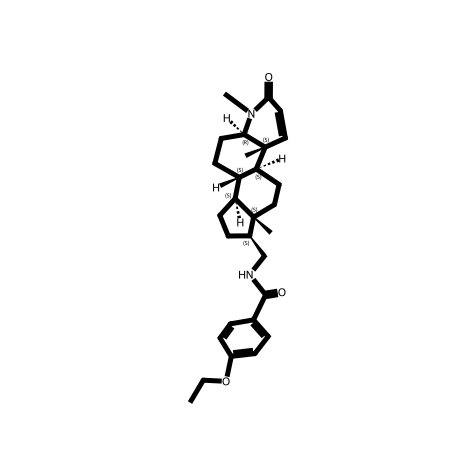 CCOc1ccc(C(=O)NC[C@H]2CC[C@H]3[C@@H]4CC[C@H]5N(C)C(=O)C=C[C@]5(C)[C@H]4CC[C@]23C)cc1